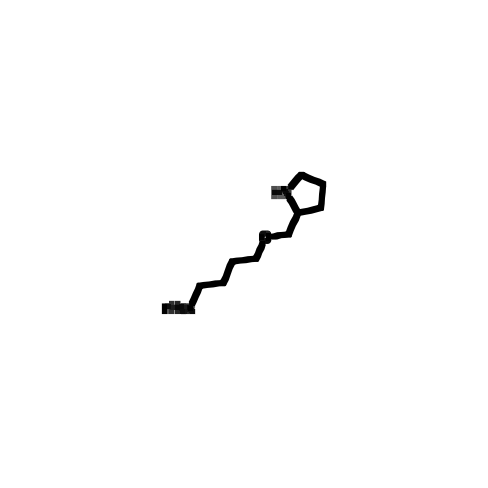 CCCCCCCCCCOCC1CCCN1